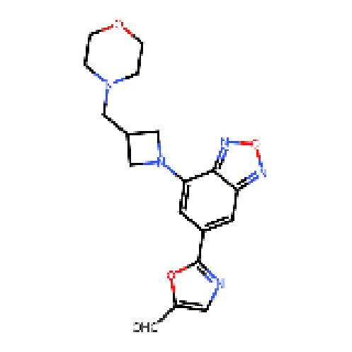 O=Cc1cnc(-c2cc(N3CC(CN4CCOCC4)C3)c3nonc3c2)o1